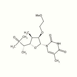 COCCO[C@@H]1[C@H](C)[C@@H]([C@H](C)P(C)(C)=O)O[C@H]1n1cc(C)c(=O)[nH]c1=O